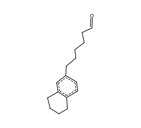 O=CCCCCCc1ccc2c(c1)CCCC2